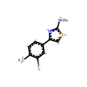 CC(=O)Nc1nc(-c2ccc(C(F)(F)F)c(F)c2)cs1